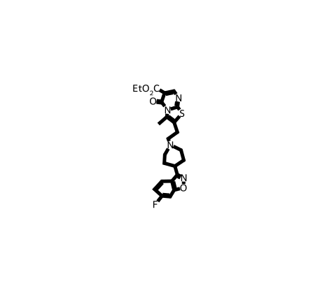 CCOC(=O)c1cnc2sc(CCN3CCC(c4noc5cc(F)ccc45)CC3)c(C)n2c1=O